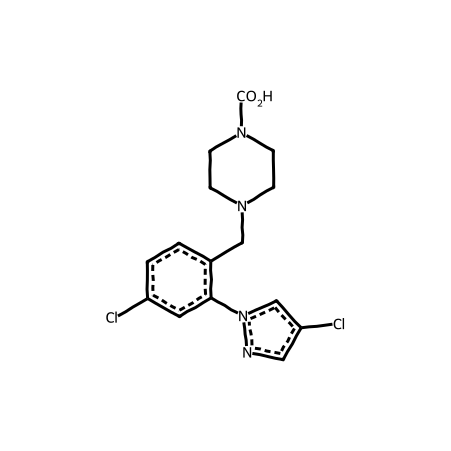 O=C(O)N1CCN(Cc2ccc(Cl)cc2-n2cc(Cl)cn2)CC1